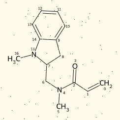 C=CC(=O)N(C)CC1Cc2ccccc2N1C